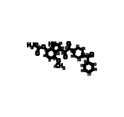 COc1ccc(OC(N)=O)c2[nH]cc(C(=O)C(=O)N3CCN(C(=O)c4ccccc4)CC3)c12